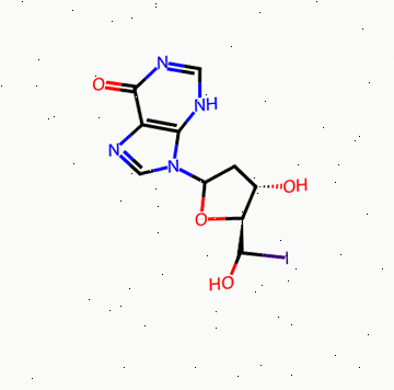 O=c1nc[nH]c2c1ncn2C1C[C@H](O)[C@@H](C(O)I)O1